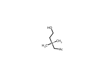 CC(=O)C[N+](C)(C)CCO